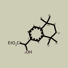 CCOC(=O)C(O)c1ccc2c(c1)C(C)(C)CCC2(C)C